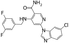 NC(=O)c1cnc(-n2cnc3ccc(Cl)cc32)cc1NCc1cc(F)cc(F)c1